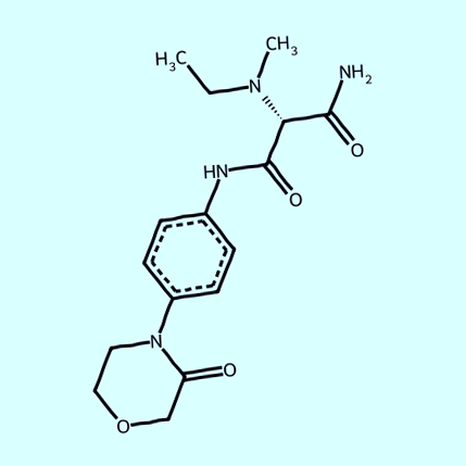 CCN(C)[C@H](C(N)=O)C(=O)Nc1ccc(N2CCOCC2=O)cc1